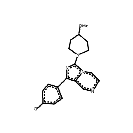 COC1CCN(c2nc(-c3ccc(Cl)cc3)c3cnccn23)CC1